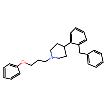 c1ccc(Cc2ccccc2C2CCN(CCCOc3ccccc3)CC2)cc1